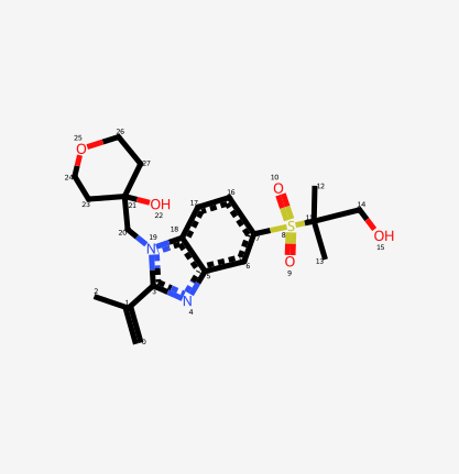 C=C(C)c1nc2cc(S(=O)(=O)C(C)(C)CO)ccc2n1CC1(O)CCOCC1